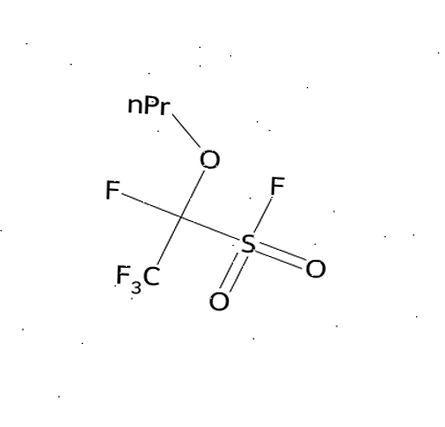 CCCOC(F)(C(F)(F)F)S(=O)(=O)F